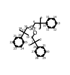 CC(C)(C[O][Sn]([CH2]C(C)(C)c1ccccc1)[CH2]C(C)(C)c1ccccc1)c1ccccc1